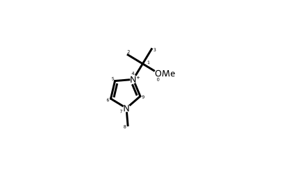 COC(C)(C)[n+]1ccn(C)c1